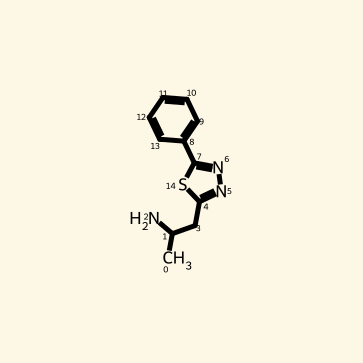 CC(N)Cc1nnc(-c2ccccc2)s1